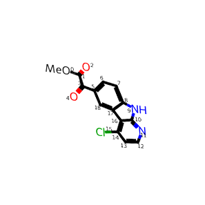 COC(=O)C(=O)c1ccc2[nH]c3nccc(Cl)c3c2c1